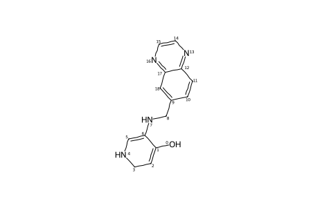 OC1=CCNC=C1NCc1ccc2nccnc2c1